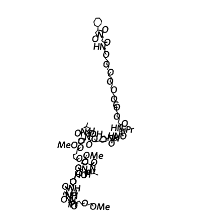 COCCOCCC(=O)N[C@H](C(=O)N[C@@H](C)C(=O)Nc1ccc(COC(=O)N2c3cc(OCCCCCOc4cc5c(cc4OC)C(=O)N4C=C(C)C[C@H]4[C@H](O)N5C(=O)OCc4ccc(NC(=O)[C@H](C)NC(=O)[C@@H](NC(=O)CCOCCOCCOCCOCCOCCOCCOCCOCCNC(=O)CCN5C(=O)CC(C6CCCCCC6)C5=O)C(C)C)cc4)c(OC)cc3C(=O)N3C=C(C)C[C@H]3[C@@H]2O)cc1)C(C)C